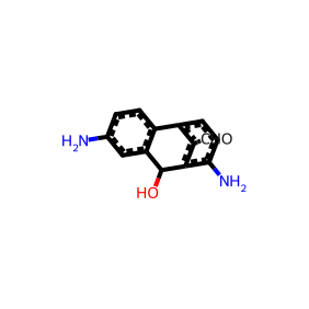 Nc1ccc2c(c1)C(O)c1c(N)ccc-2c1C=O